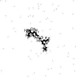 Cc1cc(CNC(=O)Nc2cc(N3CC(F)(F)C3)nc(C(F)(F)F)c2)nnc1-c1c(C(F)(F)F)n[nH]c1C